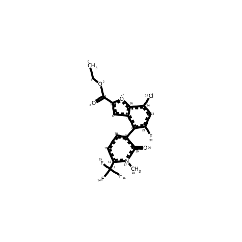 CCOC(=O)c1cc2c(-c3ccc(C(F)(F)F)n(C)c3=O)c(F)cc(Cl)c2o1